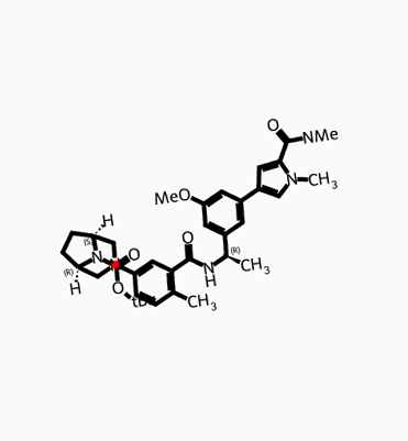 CNC(=O)c1cc(-c2cc(OC)cc([C@@H](C)NC(=O)c3cc(N4C[C@H]5CC[C@@H](C4)N5C(=O)OC(C)(C)C)ccc3C)c2)cn1C